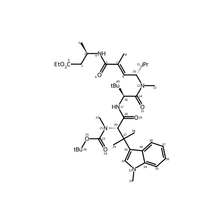 CCOC(=O)C[C@@H](C)NC(=O)/C(C)=C/[C@H](C(C)C)N(C)C(=O)[C@@H](NC(=O)[C@@H](N(C)C(=O)OC(C)(C)C)C(C)(C)c1cn(C)c2ccccc12)C(C)(C)C